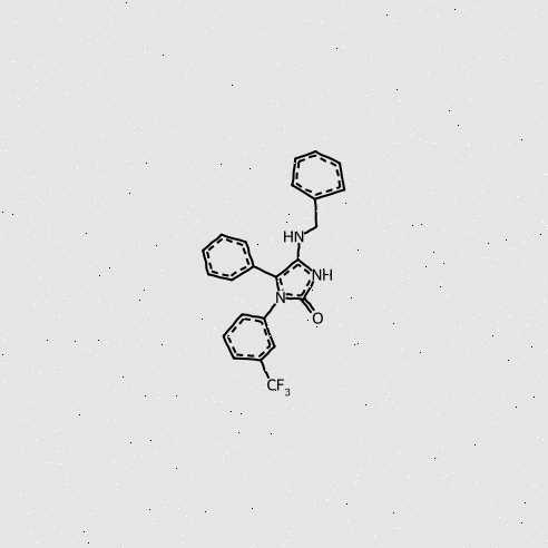 O=c1[nH]c(NCc2ccccc2)c(-c2ccccc2)n1-c1cccc(C(F)(F)F)c1